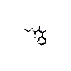 CCOC(=O)/C(C)=C(/C)c1cccnc1